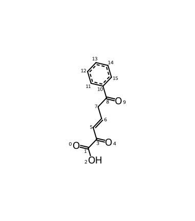 O=C(O)C(=O)C=CCC(=O)c1ccccc1